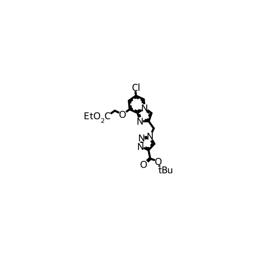 CCOC(=O)COc1cc(Cl)cn2cc(Cn3cc(C(=O)OC(C)(C)C)nn3)nc12